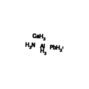 N.[AlH3].[GaH3].[PbH2]